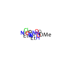 CCc1cc(CC)n(-c2ccc(C(=O)NC3(C(=O)OC)CCCCC3)nc2-c2ccc(Cl)c(OCCCN(C)C)c2)n1